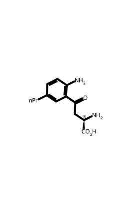 CCCc1ccc(N)c(C(=O)C[C@@H](N)C(=O)O)c1